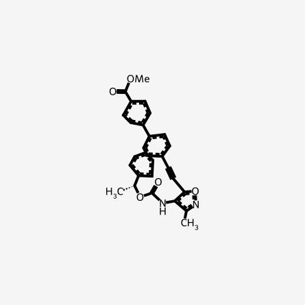 COC(=O)c1ccc(-c2ccc(C#Cc3onc(C)c3NC(=O)O[C@H](C)c3ccccc3)cc2)cc1